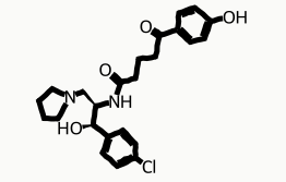 O=C(CCCC(=O)c1ccc(O)cc1)N[C@H](CN1CCCC1)[C@H](O)c1ccc(Cl)cc1